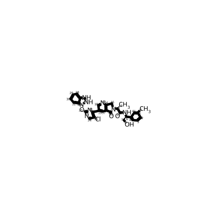 Cc1cccc([C@@H](CO)NC(=O)[C@@H](C)N2Cc3ncc(-c4nc(ON5NNc6ccccc65)ncc4Cl)cc3C2=O)c1